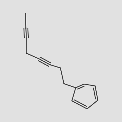 [CH2]C#CCC#CCCc1ccccc1